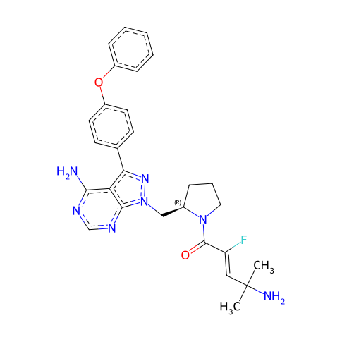 CC(C)(N)C=C(F)C(=O)N1CCC[C@@H]1Cn1nc(-c2ccc(Oc3ccccc3)cc2)c2c(N)ncnc21